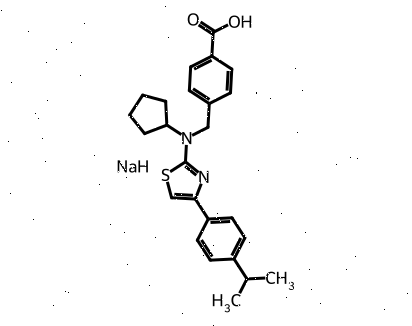 CC(C)c1ccc(-c2csc(N(Cc3ccc(C(=O)O)cc3)C3CCCC3)n2)cc1.[NaH]